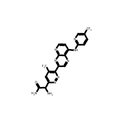 NC(=O)C(N)c1cc(C(F)(F)F)c(-c2cnc3c(Nc4ccc(C(F)(F)F)cn4)ccnc3n2)nn1